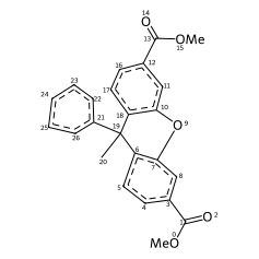 COC(=O)c1ccc2c(c1)Oc1cc(C(=O)OC)ccc1C2(C)c1ccccc1